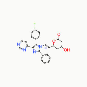 O=C1CC(O)CC(/C=C/n2c(-c3ccccc3)nc(-c3ccncn3)c2-c2ccc(F)cc2)O1